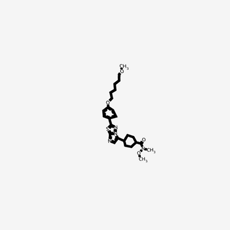 COCCCCCCOc1ccc(-c2nn3c(C4CCC(C(=O)N(C)OC)CC4)cnc3s2)cc1